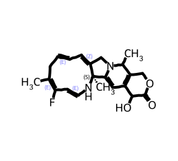 C/C1=C(F)/C=C/N[C@]2(C)C3=CC4=C(COC(=O)C4O)C(C)N3C/C2=C/C=C/C1